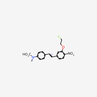 CN(C(=O)O)c1ccc(/C=C/c2ccc([N+](=O)[O-])c(OCCF)c2)cc1